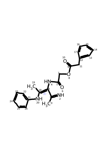 CC(=N)/C(NC(=O)COC(=O)Cc1ccccc1)=C(/C)Nc1ccccc1